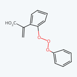 C=C(C(=O)O)c1ccccc1OOOc1ccccc1